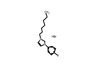 Br.CCCCCCCN1C=CN(c2ccc(F)cc2)C1